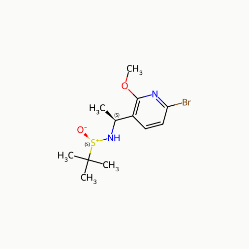 COc1nc(Br)ccc1[C@H](C)N[S@+]([O-])C(C)(C)C